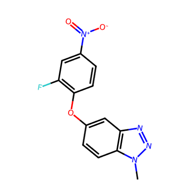 Cn1nnc2cc(Oc3ccc([N+](=O)[O-])cc3F)ccc21